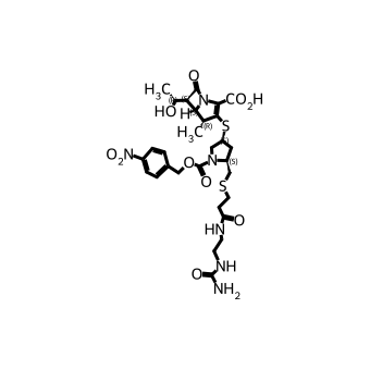 C[C@@H](O)[C@H]1C(=O)N2C(C(=O)O)=C(S[C@H]3C[C@@H](CSCCC(=O)NCCNC(N)=O)N(C(=O)OCc4ccc([N+](=O)[O-])cc4)C3)[C@H](C)[C@H]12